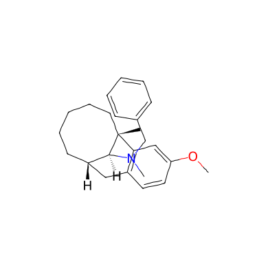 COc1ccc2c(c1)[C@@]1(C)CCCCC[C@@H](C2)[C@@H]1N(C)Cc1ccccc1